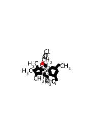 CCC[Si](CCC)(c1cc(CC)cc(CC)c1)C1(C)C(C)=C(C)C(C)=[C]1[Ti+3].[Cl-].[Cl-].[Cl-]